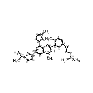 Cc1ccc(OCCN(C)C)cc1C(=O)N[C@H](C)c1cc(-c2cnn(C)c2)cc(-c2ccn(C(C)C)n2)c1